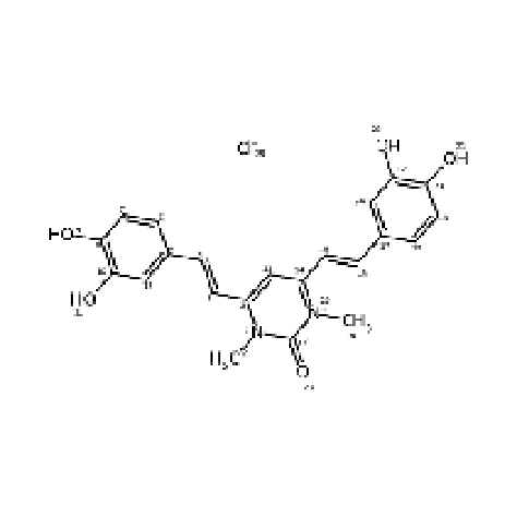 Cn1c(C=Cc2ccc(O)c(O)c2)cc(C=Cc2ccc(O)c(O)c2)[n+](C)c1=O.[Cl-]